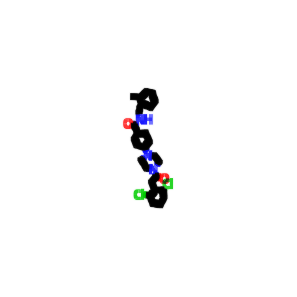 Cc1ccccc1CNC(=O)c1ccc(N2CCN(C(=O)Cc3c(Cl)cccc3Cl)CC2)cc1